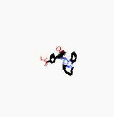 O=CC(Nc1ccccc1N1CCCCC1)c1ccc(C(=O)O)cc1